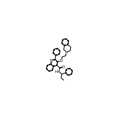 CCC(NC(=O)c1c(OCCN2CCc3ccccc3C2)c(-c2ccccc2)nc2ccccc12)c1ccccc1